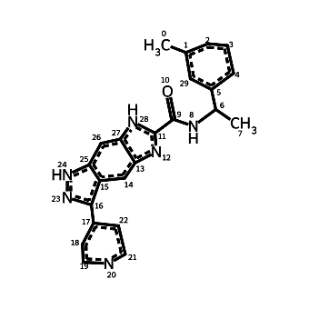 Cc1cccc(C(C)NC(=O)c2nc3cc4c(-c5ccncc5)n[nH]c4cc3[nH]2)c1